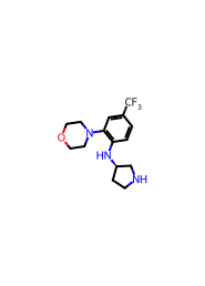 FC(F)(F)c1ccc(N[C@@H]2CCNC2)c(N2CCOCC2)c1